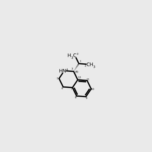 CC(C)[C@H]1NCCc2ccccc21